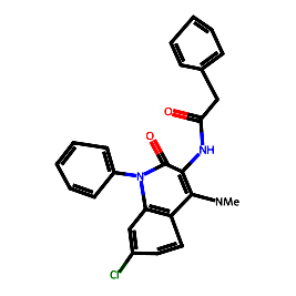 CNc1c(NC(=O)Cc2ccccc2)c(=O)n(-c2ccccc2)c2cc(Cl)ccc12